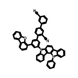 N#Cc1cccc(-c2ccc(-c3cc(-c4cccc5c4oc4ccccc45)cc(-n4c5ccccc5c5c4ccc4c6ccccc6n(-c6ccccc6)c45)c3)c(C#N)c2)c1